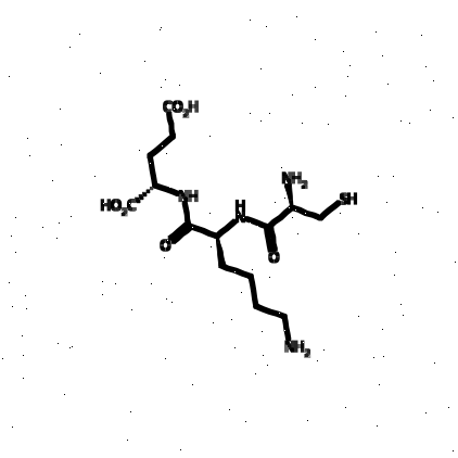 NCCCC[C@H](NC(=O)[C@@H](N)CS)C(=O)N[C@@H](CCC(=O)O)C(=O)O